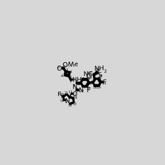 COC(=O)C12CC(CNc3nc(OC[C@@]45CCCN4C[C@H](F)C5)nc4c(F)c(-c5ccc(F)c6sc(N)c(C#N)c56)c(Cl)cc34)(C1)C2